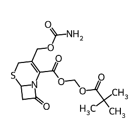 CC(C)(C)C(=O)OCOC(=O)C1=C(COC(N)=O)CSC2CC(=O)N12